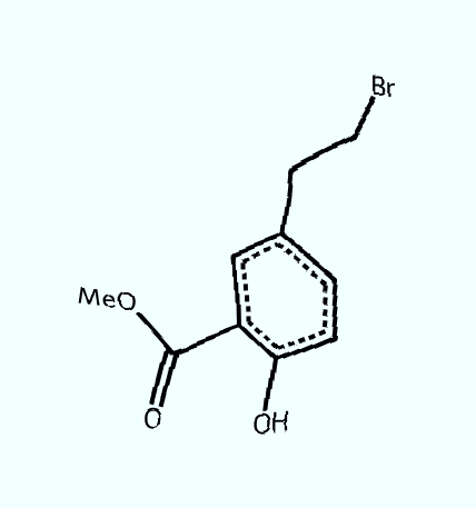 COC(=O)c1cc(CCBr)ccc1O